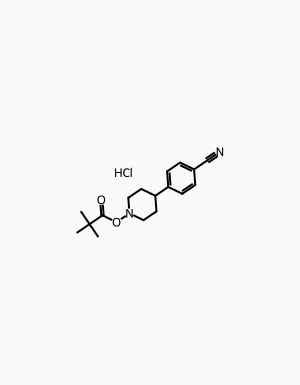 CC(C)(C)C(=O)ON1CCC(c2ccc(C#N)cc2)CC1.Cl